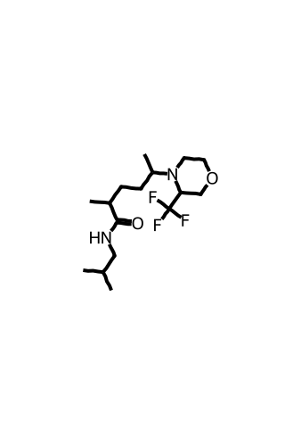 CC(C)CNC(=O)C(C)CCC(C)N1CCOCC1C(F)(F)F